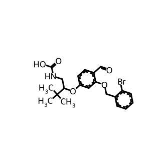 CC(C)(C)C(CNC(=O)O)Oc1ccc(C=O)c(OCc2ccccc2Br)c1